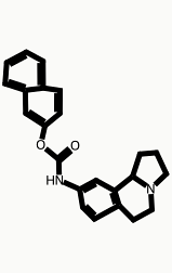 O=C(Nc1ccc2c(c1)C1CCCN1CC2)Oc1ccc2ccccc2c1